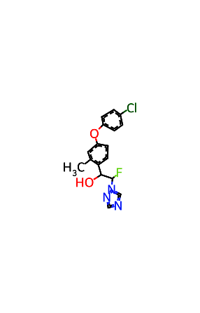 Cc1cc(Oc2ccc(Cl)cc2)ccc1C(O)C(F)n1cncn1